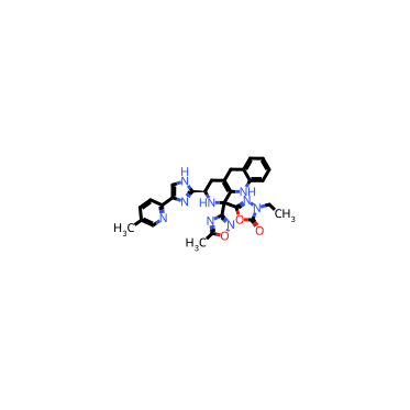 CCn1nc(C2(c3noc(C)n3)N[C@@H](c3nc(-c4ccc(C)cn4)c[nH]3)CC3=C2Nc2ccccc2C3)oc1=O